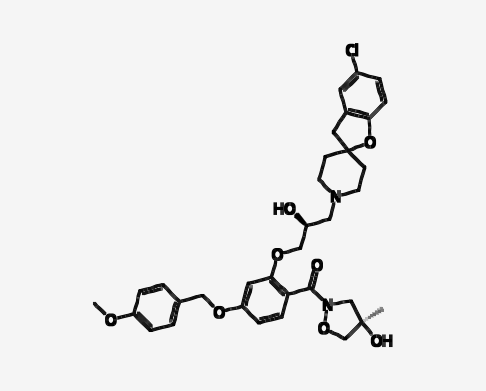 COc1ccc(COc2ccc(C(=O)N3C[C@@](C)(O)CO3)c(OC[C@@H](O)CN3CCC4(CC3)Cc3cc(Cl)ccc3O4)c2)cc1